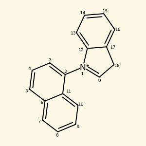 C1=[N+](c2cccc3ccccc23)c2ccccc2C1